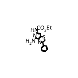 CCOC(=O)Nc1cc2c(c(N)n1)N=C(c1ccccc1)CS2